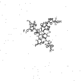 CC1C2c3c(C(F)(F)F)nn(CC(=O)NC(Cc4cc(F)cc(F)c4)c4nc(CCC(C)(C)S(=O)(=O)C5CC5)ccc4-c4ccc(Cl)c5c(Nc6nnc(C(C)(C)O)o6)nn(C)c45)c3C(F)(F)C12